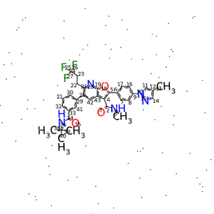 CNC(=O)c1c(-c2ccc(-n3cc(C)cn3)cc2)oc2nc(CCC(F)(F)F)c(-c3cccc(C(=O)NC(C)(C)C)c3)cc12